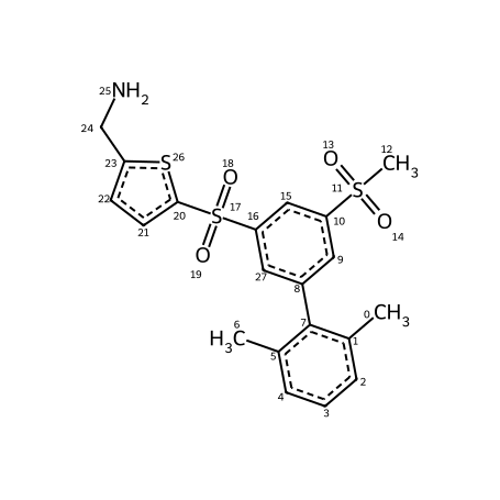 Cc1cccc(C)c1-c1cc(S(C)(=O)=O)cc(S(=O)(=O)c2ccc(CN)s2)c1